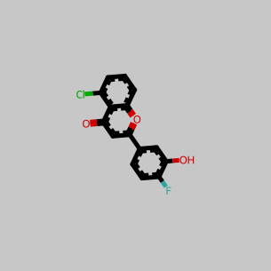 O=c1cc(-c2ccc(F)c(O)c2)oc2cccc(Cl)c12